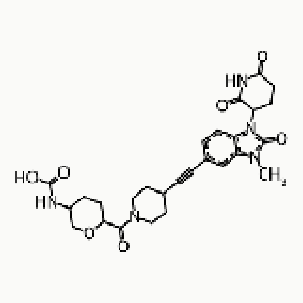 Cn1c(=O)n(C2CCC(=O)NC2=O)c2ccc(C#CC3CCN(C(=O)C4CCC(NC(=O)O)CO4)CC3)cc21